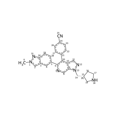 Cn1cc2cc(-c3ncc4c(cnn4C[C@@H]4CCNC4)c3-c3ccc(C#N)cc3)ccc2n1